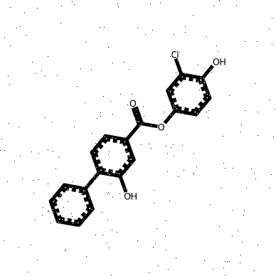 O=C(Oc1ccc(O)c(Cl)c1)c1ccc(-c2ccccc2)c(O)c1